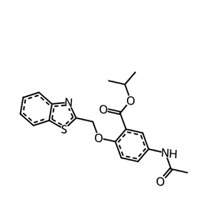 CC(=O)Nc1ccc(OCc2nc3ccccc3s2)c(C(=O)OC(C)C)c1